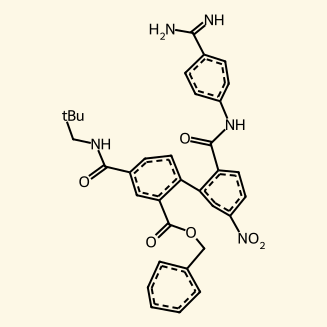 CC(C)(C)CNC(=O)c1ccc(-c2cc([N+](=O)[O-])ccc2C(=O)Nc2ccc(C(=N)N)cc2)c(C(=O)OCc2ccccc2)c1